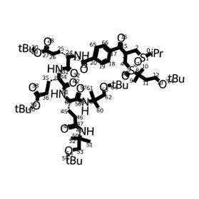 CC(C)SCC(CS(=O)(=O)C(C)(C)CCOC(C)(C)C)C(=O)c1ccc(C(=O)N[C@@H](CCC(=O)OC(C)(C)C)C(=O)N[C@@H](CCC(=O)OC(C)(C)C)C(=O)N[C@@H](CCC(=O)NC(C)(C)COC(C)(C)C)C(=O)NC(C)(C)COC(C)(C)C)cc1